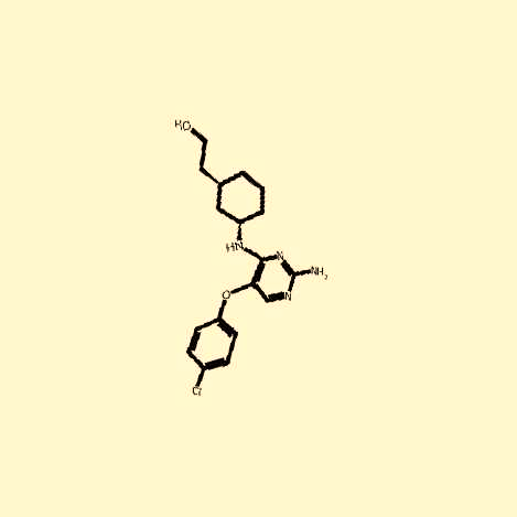 Nc1ncc(Oc2ccc(Cl)cc2)c(N[C@@H]2CCC[C@H](CCO)C2)n1